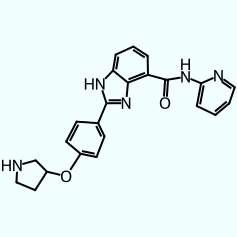 O=C(Nc1ccccn1)c1cccc2[nH]c(-c3ccc(OC4CCNC4)cc3)nc12